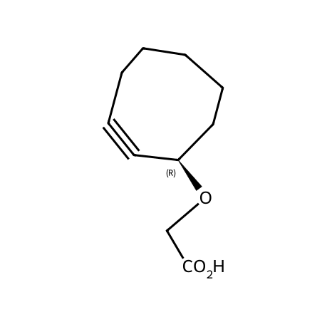 O=C(O)CO[C@H]1C#CCCCCC1